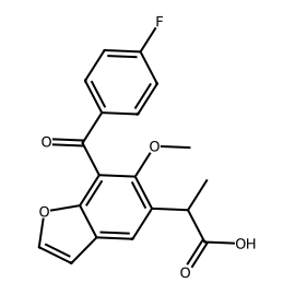 COc1c(C(C)C(=O)O)cc2ccoc2c1C(=O)c1ccc(F)cc1